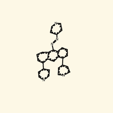 c1cc(-c2ccncc2)c2cc3c(-c4ccncc4)cccc3c(N=Nc3ccncc3)c2c1